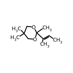 CC=C(C)C1(C)OCC(C)(C)CO1